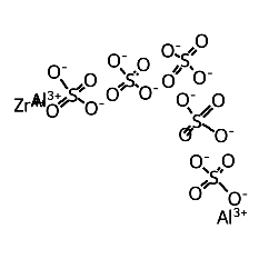 O=S(=O)([O-])[O-].O=S(=O)([O-])[O-].O=S(=O)([O-])[O-].O=S(=O)([O-])[O-].O=S(=O)([O-])[O-].[Al+3].[Al+3].[Zr+4]